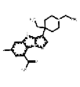 CCN1CCC(CC)(c2cnn3c2[nH]c2cc(F)cc(C(N)=O)c23)CC1